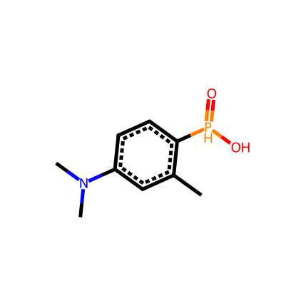 Cc1cc(N(C)C)ccc1[PH](=O)O